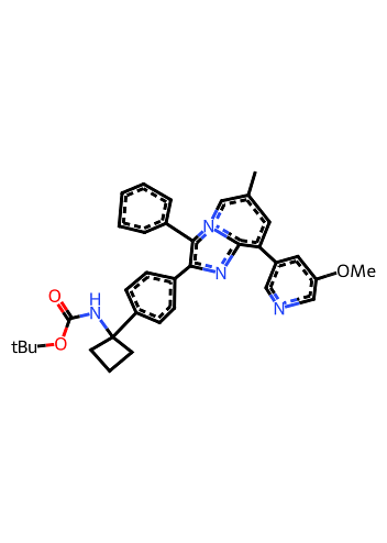 COc1cncc(-c2cc(C)cn3c(-c4ccccc4)c(-c4ccc(C5(NC(=O)OC(C)(C)C)CCC5)cc4)nc23)c1